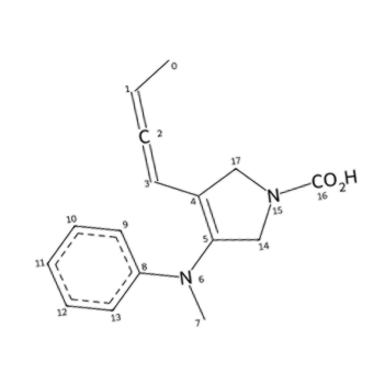 CC=C=CC1=C(N(C)c2ccccc2)CN(C(=O)O)C1